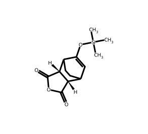 C[Si](C)(C)OC1=CC2CCC1[C@H]1C(=O)OC(=O)[C@@H]21